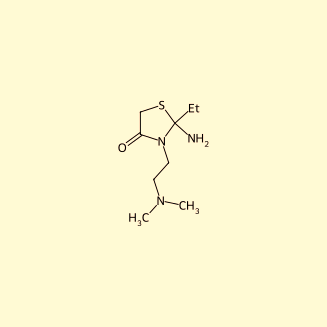 CCC1(N)SCC(=O)N1CCN(C)C